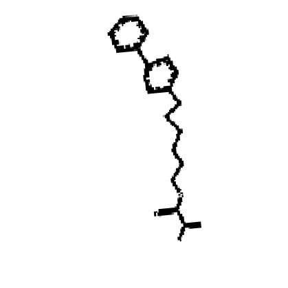 C=C(C)C(=O)OCCCCCCc1ccc(-c2ccccc2)cc1